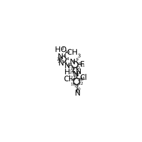 CC(O)c1cc(Nc2ncc(F)c3nn(-c4c(Cl)cc(C#N)cc4Cl)cc23)ncn1